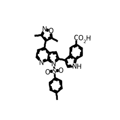 Cc1ccc(S(=O)(=O)n2c(-c3c[nH]c4ccc(C(=O)O)cc34)cc3c(-c4c(C)noc4C)ccnc32)cc1